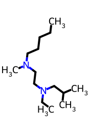 CCCCCN(C)CCN(CC)CC(C)C